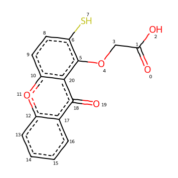 O=C(O)COc1c(S)ccc2oc3ccccc3c(=O)c12